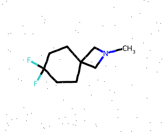 CN1CC2(CCC(F)(F)CC2)C1